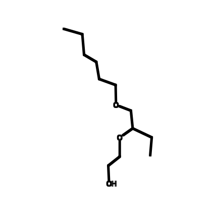 CCCCCCOCC(CC)OCCO